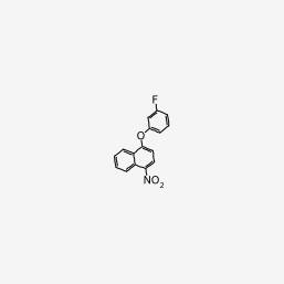 O=[N+]([O-])c1ccc(Oc2cccc(F)c2)c2ccccc12